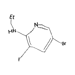 CCNc1ncc(Br)cc1I